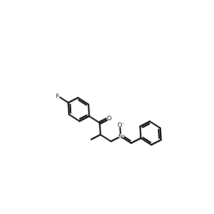 CC(C[N+]([O-])=Cc1ccccc1)C(=O)c1ccc(F)cc1